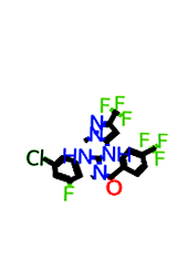 CN(C(=O)c1ccc(C(F)(F)F)cc1)C(Nc1cc(F)cc(Cl)c1)Nc1cc(C(F)(F)F)nn1C